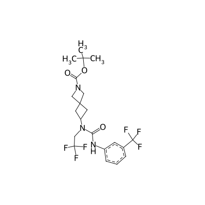 CC(C)(C)OC(=O)N1CC2(CC(N(CC(F)(F)F)C(=O)Nc3cccc(C(F)(F)F)c3)C2)C1